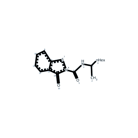 CCCCCCC(C)NC(=O)n1sc2ccccc2c1=O